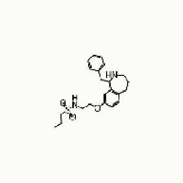 CCCS(=O)(=O)NCCOc1ccc2c(c1)C(Cc1ccccc1)NCCC2